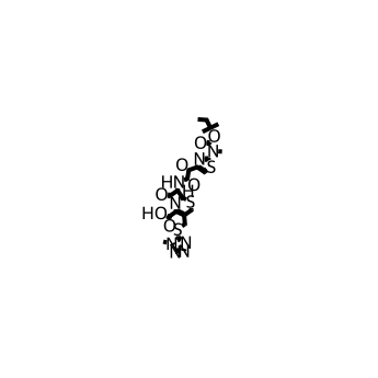 CCC(C)(C)OC(=O)N(C)c1nc(C(=O)C(=O)NC2C(=O)N3C(C(=O)O)=C(CSc4nnnn4C)CS[C@@H]23)cs1